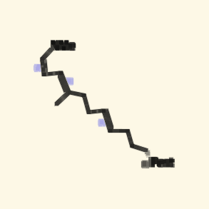 CCC[C@@H](C)CCC/C=C/CC/C(C)=C/C=C\NC